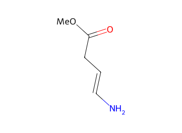 COC(=O)CC=CN